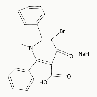 Cn1c(-c2ccccc2)c(Br)c(=O)c(C(=O)O)c1-c1ccccc1.[NaH]